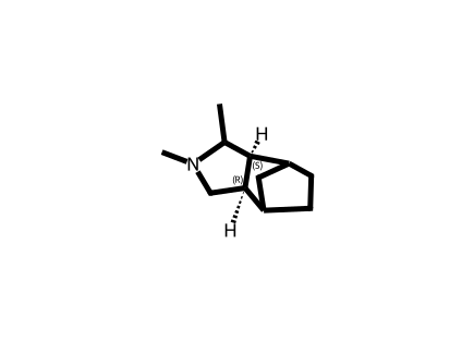 CC1[C@H]2C3CCC(C3)[C@H]2CN1C